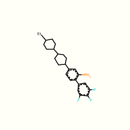 CCC1CCC(C2CCC(c3ccc(-c4cc(F)c(F)c(F)c4)c(P)c3)CC2)CC1